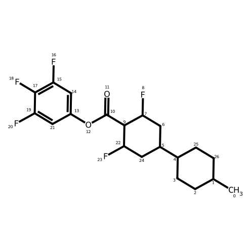 CC1CCC(C2CC(F)C(C(=O)Oc3cc(F)c(F)c(F)c3)C(F)C2)CC1